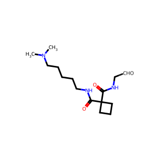 CN(C)CCCCCNC(=O)C1(C(=O)NCC=O)CCC1